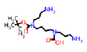 CC(C)(C)OC(=O)N(CCCN)CCCCN(CCCN)C(=O)O